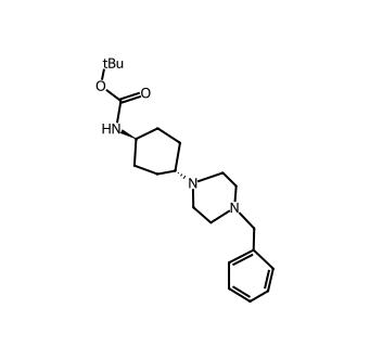 CC(C)(C)OC(=O)N[C@H]1CC[C@H](N2CCN(Cc3ccccc3)CC2)CC1